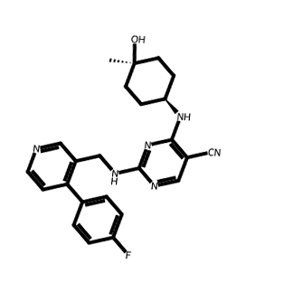 C[C@]1(O)CC[C@@H](Nc2nc(NCc3cnccc3-c3ccc(F)cc3)ncc2C#N)CC1